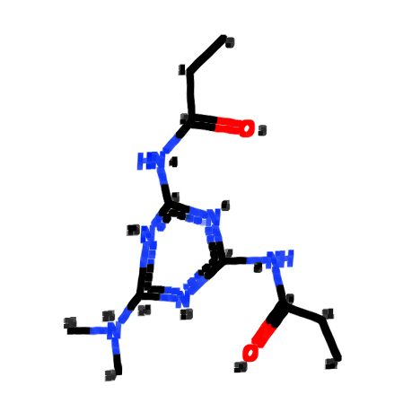 CCC(=O)Nc1nc(NC(=O)CC)nc(N(C)C)n1